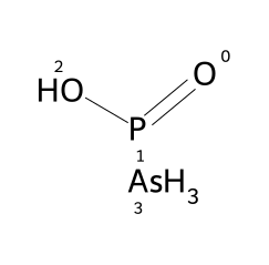 O=PO.[AsH3]